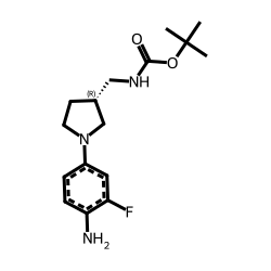 CC(C)(C)OC(=O)NC[C@H]1CCN(c2ccc(N)c(F)c2)C1